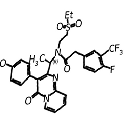 CCS(=O)(=O)CCN(C(=O)Cc1ccc(F)c(C(F)(F)F)c1)[C@H](C)c1nc2ccccn2c(=O)c1-c1ccc(O)cc1